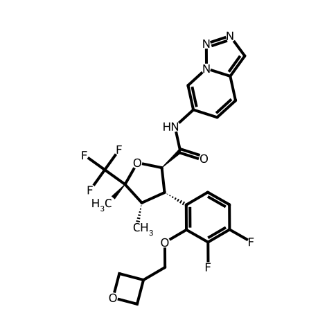 C[C@H]1[C@@H](c2ccc(F)c(F)c2OCC2COC2)[C@H](C(=O)Nc2ccc3cnnn3c2)O[C@@]1(C)C(F)(F)F